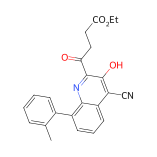 CCOC(=O)CCC(=O)c1nc2c(-c3ccccc3C)cccc2c(C#N)c1O